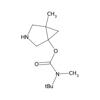 CN(C(=O)OC12CNCC1(C)C2)C(C)(C)C